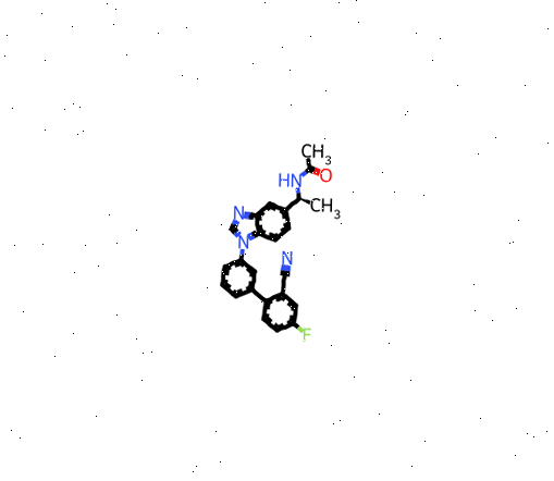 CC(=O)N[C@@H](C)c1ccc2c(c1)ncn2-c1cccc(-c2ccc(F)cc2C#N)c1